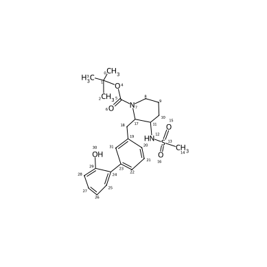 CC(C)(C)OC(=O)N1CCCC(NS(C)(=O)=O)C1Cc1cccc(-c2ccccc2O)c1